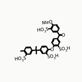 COc1ccc(C(=O)c2ccc(Oc3ccc(C(C)(C)c4ccc(C)c(S(=O)(=O)O)c4)cc3S(=O)(=O)O)c(S(=O)(=O)O)c2)cc1S(=O)(=O)O